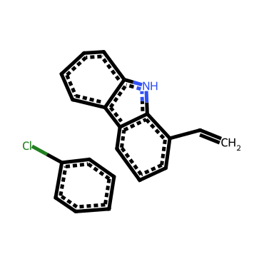 C=Cc1cccc2c1[nH]c1ccccc12.Clc1ccccc1